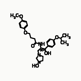 COc1ccc(OCCCC(=O)N[C@H](CN2CC[C@H](O)C2)[C@H](O)c2ccc(OC(C)C)cc2)cc1